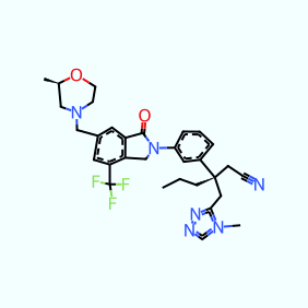 CCC[C@@](CC#N)(Cc1nncn1C)c1cccc(N2Cc3c(cc(CN4CCO[C@H](C)C4)cc3C(F)(F)F)C2=O)c1